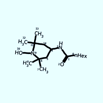 CCCCCCC(=O)NC1CC(C)(C)N(O)C(C)(C)C1